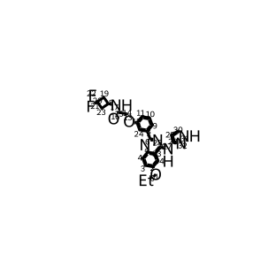 CCOc1ccc2nc(-c3cccc(OCC(=O)NC4CC(F)(F)C4)c3)nc(Nc3cc[nH]n3)c2c1